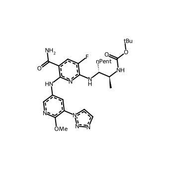 CCCCC[C@@H](Nc1nc(Nc2cnc(OC)c(-n3ccnn3)c2)c(C(N)=O)cc1F)[C@H](C)NC(=O)OC(C)(C)C